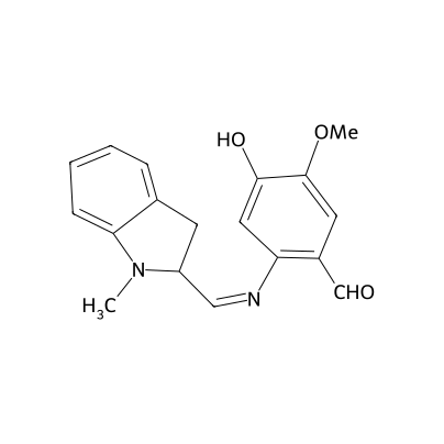 COc1cc(C=O)c(/N=C\C2Cc3ccccc3N2C)cc1O